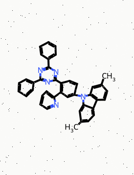 Cc1ccc2c3ccc(C)cc3n(-c3ccc(-c4nc(-c5ccccc5)nc(-c5ccccc5)n4)c(-c4ccccn4)c3)c2c1